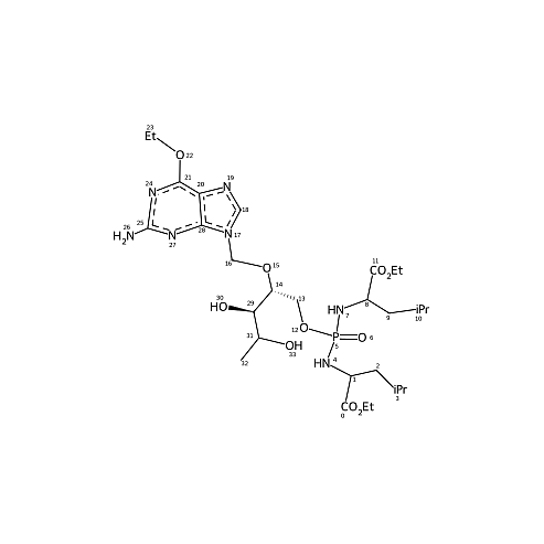 CCOC(=O)C(CC(C)C)NP(=O)(NC(CC(C)C)C(=O)OCC)OC[C@@H](OCn1cnc2c(OCC)nc(N)nc21)[C@H](O)C(C)O